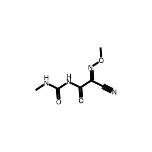 CNC(=O)NC(=O)C(C#N)=NOC